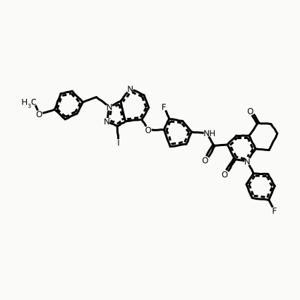 COc1ccc(Cn2nc(I)c3c(Oc4ccc(NC(=O)c5cc6c(n(-c7ccc(F)cc7)c5=O)CCCC6=O)cc4F)ccnc32)cc1